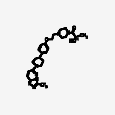 C[C@@H](O)C(=O)N1CCN(CCOc2ccc(C3CCN(c4ccc5nnc(C(F)(F)F)n5n4)CC3)cc2)CC1